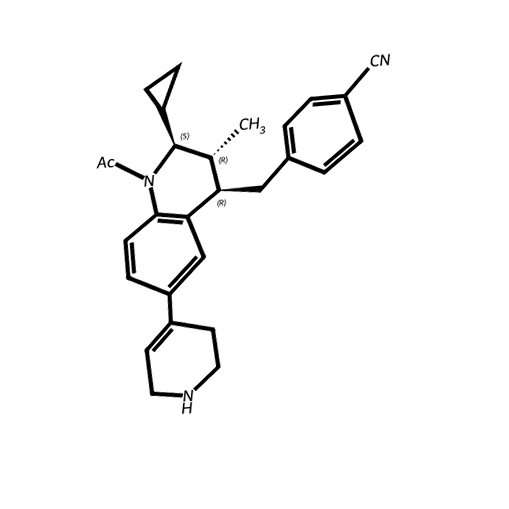 CC(=O)N1c2ccc(C3=CCNCC3)cc2[C@H](Cc2ccc(C#N)cc2)[C@@H](C)[C@@H]1C1CC1